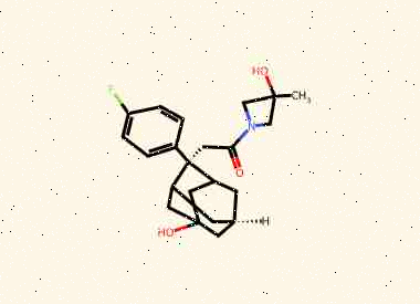 CC1(O)CN(C(=O)C[C@]2(c3ccc(F)cc3)C3CC4(O)CC2C[C@@H](C3)C4)C1